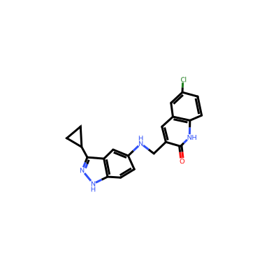 O=c1[nH]c2ccc(Cl)cc2cc1CNc1ccc2[nH]nc(C3CC3)c2c1